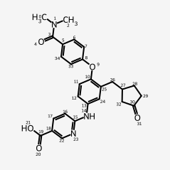 CN(C)C(=O)c1ccc(Oc2ccc(Nc3ccc(C(=O)O)cn3)cc2CC2CCC(=O)C2)cc1